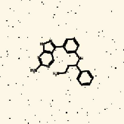 NCCC(Nc1cccc(-c2n[nH]c3nc(N)ncc23)c1)c1ccccc1